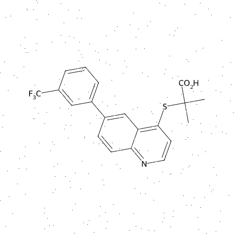 CC(C)(Sc1ccnc2ccc(-c3cccc(C(F)(F)F)c3)cc12)C(=O)O